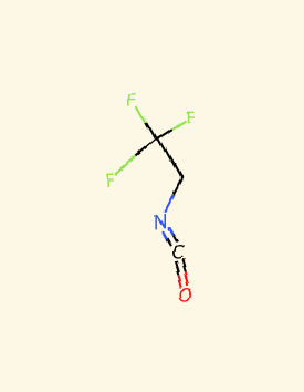 O=C=NCC(F)(F)F